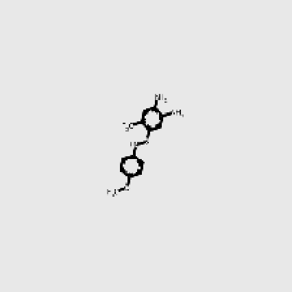 Nc1cc(SNc2ccc(OC(F)(F)F)cc2)c(C(F)(F)F)cc1N